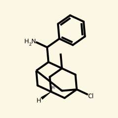 CC12C[C@H]3CC(CC(Cl)(C3)C1)C2C(N)c1ccccc1